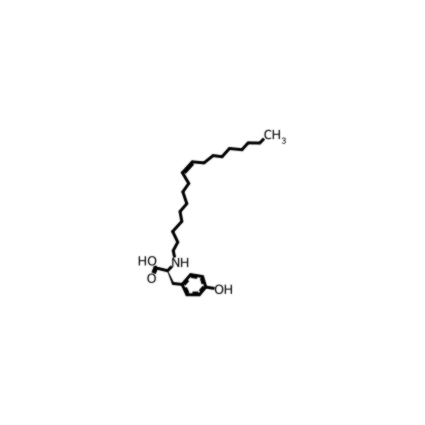 CCCCCCCC/C=C\CCCCCCCCN[C@@H](Cc1ccc(O)cc1)C(=O)O